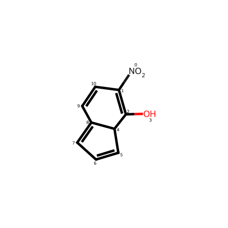 O=[N+]([O-])C1=C(O)C2C=CC=C2C=C1